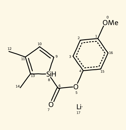 COc1ccc(OC(=O)[SiH]2C=CC(C)=C2C)cc1.[Li]